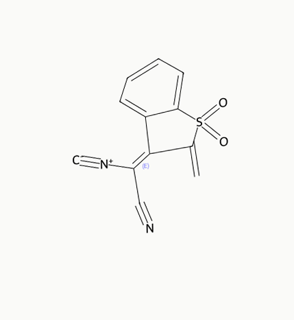 [C-]#[N+]/C(C#N)=C1/C(=C)S(=O)(=O)c2ccccc21